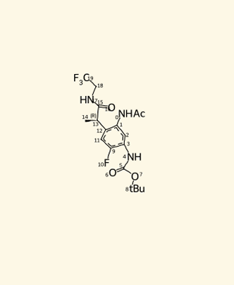 CC(=O)Nc1cc(NC(=O)OC(C)(C)C)c(F)cc1[C@@H](C)C(=O)NCC(F)(F)F